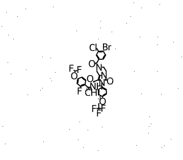 C[C@@H](NC(=O)c1c2n(c(=O)n1-c1ccc(OCC(F)(F)F)cc1)CCN(C(=O)c1ccc(Br)c(Cl)c1)C2)c1ccc(OC(F)F)cc1F